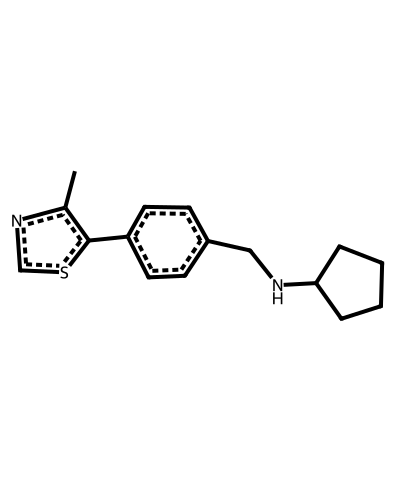 Cc1ncsc1-c1ccc(CNC2CCCC2)cc1